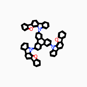 c1ccc2c(c1)oc1c2ccc2c3ccccc3n(-c3ccc4c(c3)c3ccc(-n5c6ccccc6c6ccc7c8ccccc8oc7c65)cc3c3ccc(-n5c6ccccc6c6ccc7c8ccccc8oc7c65)cc43)c21